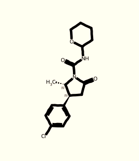 C[C@H]1[C@H](c2ccc(Cl)cc2)CC(=O)N1C(=O)NC1CCCCO1